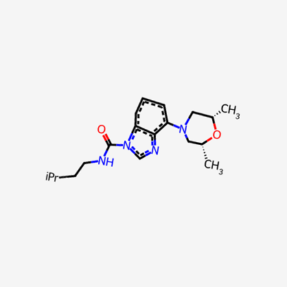 CC(C)CCNC(=O)n1cnc2c(N3C[C@@H](C)O[C@@H](C)C3)cccc21